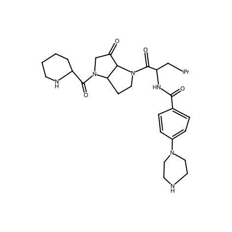 CC(C)CC(NC(=O)c1ccc(N2CCNCC2)cc1)C(=O)N1CCC2C1C(=O)CN2C(=O)C1CCCCN1